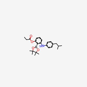 CCC(=O)Oc1cccc(Nc2ccc(CC(C)C)cc2)c1B1OC(C)(C)C(C)(C)O1